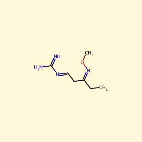 CCC(CC=NC(=N)N)=NOC